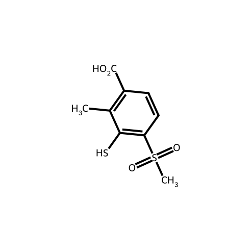 Cc1c(C(=O)O)ccc(S(C)(=O)=O)c1S